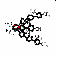 N#Cc1cc(-n2c3cc(-c4ccc(C(F)(F)F)cc4C(F)(F)F)ccc3c3ccc(-c4ccc(C(F)(F)F)cc4C(F)(F)F)cc32)c(-c2ccc(C#N)cc2C(F)(F)F)c(-n2c3cc(-c4ccc(C(F)(F)F)cc4C(F)(F)F)ccc3c3ccc(-c4ccc(C(F)(F)F)cc4C(F)(F)F)cc32)c1